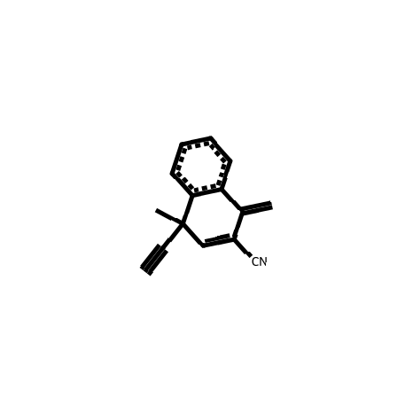 C#CC1(C)C=C(C#N)C(=C)c2ccccc21